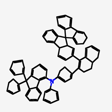 C1=CCCC(C2(c3ccccc3)c3ccccc3-c3c(N(C4=CC=C(C5=C(C6=CC7C(C=C6)c6ccccc6C76C7=CCCC=C7c7ccccc76)C6=CC=CCC6CC5)CC4)c4ccccc4)cccc32)=C1